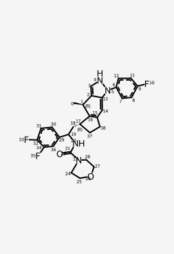 C[C@H]1C2=CNN(c3ccc(F)cc3)C2=CC2=C1[C@@H](CC(NC(=O)N1CCOCC1)c1ccc(F)c(F)c1)CC2